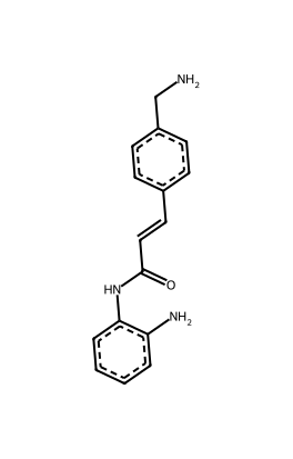 NCc1ccc(/C=C/C(=O)Nc2ccccc2N)cc1